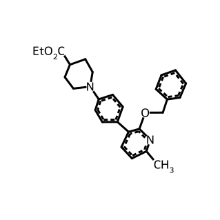 CCOC(=O)C1CCN(c2ccc(-c3ccc(C)nc3OCc3ccccc3)cc2)CC1